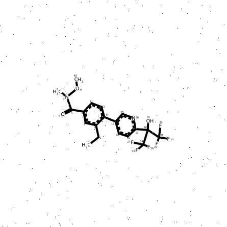 CCc1cc(C(=O)N(C)OC)ccc1-c1ccc(C(O)(C(F)(F)F)C(F)(F)F)nc1